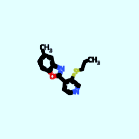 CCCSc1cnccc1-c1nc2cc(C)ccc2o1